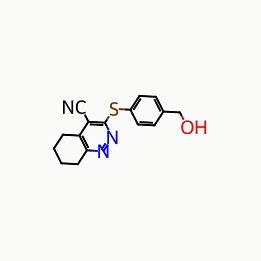 N#Cc1c(Sc2ccc(CO)cc2)nnc2c1CCCC2